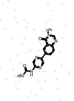 CCCCC(=O)Nc1cnc(-c2ccc3ncn(CCC)c(=O)c3c2)cn1